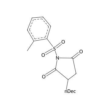 CCCCCCCCCCC1CC(=O)N(S(=O)(=O)c2ccccc2C)C1=O